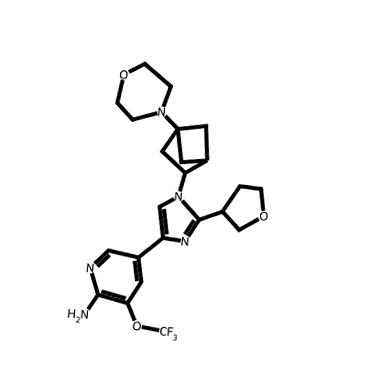 Nc1ncc(-c2cn(C3CC4(N5CCOCC5)CC3C4)c(C3CCOC3)n2)cc1OC(F)(F)F